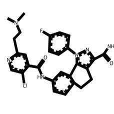 CN(C)CCc1cc(C(=O)Nc2ccc3c(c2)-c2c(c(C(N)=O)nn2-c2ccc(F)cc2)CC3)c(Cl)cn1